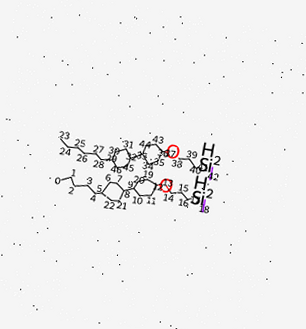 CCCCCC1CCC(C2CCC(OCCC[SiH2]I)CC2)CC1.CCCCCCC1CCC(C2CCC(OCCC[SiH2]I)CC2)CC1